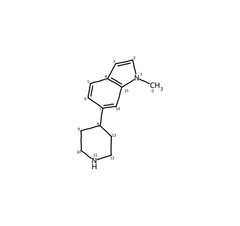 Cn1ccc2ccc(C3CCNCC3)cc21